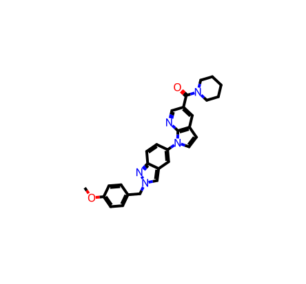 COc1ccc(Cn2cc3cc(-n4ccc5cc(C(=O)N6CCCCC6)cnc54)ccc3n2)cc1